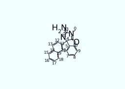 CN1C(=O)C(c2ccccc2)(c2ccc3ccccc3c2)N=C1N